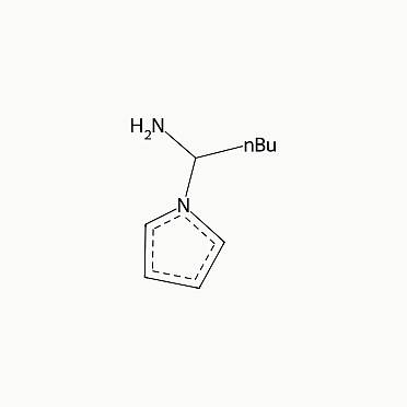 CCCCC(N)n1cccc1